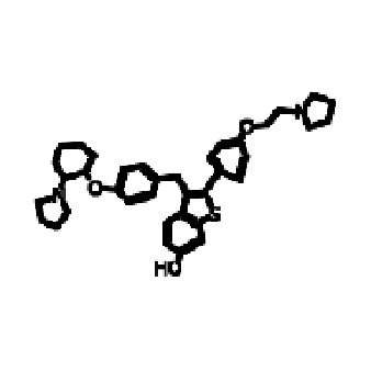 Oc1ccc2c(Cc3ccc(O[C@H]4CCCC[C@@H]4N4CCCC4)cc3)c(-c3ccc(OCCN4CCCC4)cc3)sc2c1